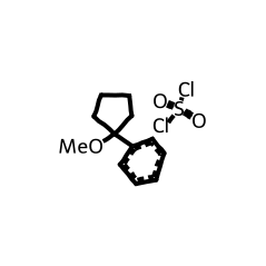 COC1(c2ccccc2)CCCC1.O=S(=O)(Cl)Cl